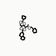 COC1COC(c2ccccc2)OC1C(OCc1ccc2ccccc2c1)C(C)OCc1ccccc1